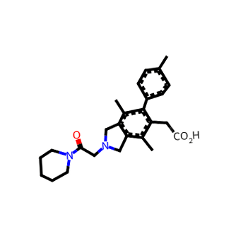 Cc1ccc(-c2c(C)c3c(c(C)c2CC(=O)O)CN(CC(=O)N2CCCCC2)C3)cc1